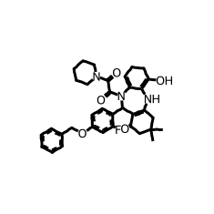 CC1(C)CC(=O)C2=C(C1)NC1=C(O)CCC=C1N(C(=O)C(=O)N1CCCCC1)C2c1ccc(OCc2ccccc2)cc1F